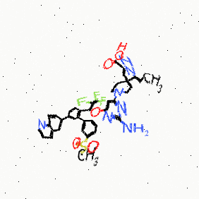 CCC1NC(C(=O)O)CC12CCN(c1cc(O[C@H](c3ccc(-c4ccc5ncccc5c4)cc3-c3cccc(S(C)(=O)=O)c3)C(F)(F)F)nc(N)n1)CC2